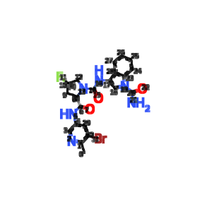 Cc1ncc(NC(=O)[C@@H]2C[C@@H](F)CN2C(=O)Nc2cn(C(N)=O)c3ccccc23)cc1Br